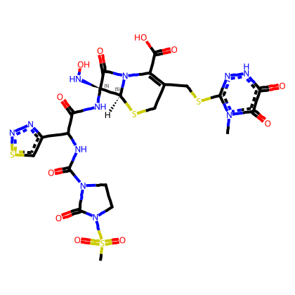 Cn1c(SCC2=C(C(=O)O)N3C(=O)[C@@](NO)(NC(=O)C(NC(=O)N4CCN(S(C)(=O)=O)C4=O)c4csnn4)[C@@H]3SC2)n[nH]c(=O)c1=O